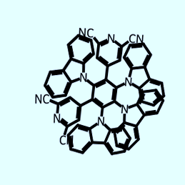 N#Cc1cc(-c2c(-n3c4ccccc4c4ccccc43)c(-c3cc(C#N)nc(C#N)c3)c(-n3c4ccccc4c4ccccc43)c(-n3c4ccccc4c4ccccc43)c2-n2c3ccccc3c3ccccc32)cc(C#N)n1